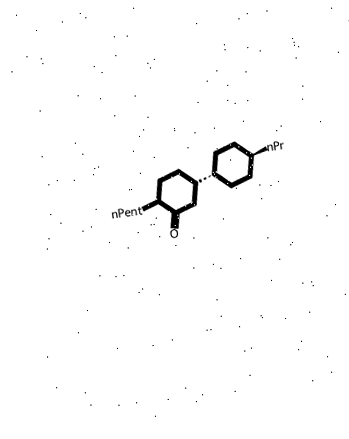 CCCCCC1CCC([C@H]2CC[C@H](CCC)CC2)CC1=O